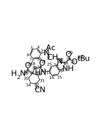 CC(=O)N(C)c1cccc(C[C@H](C(=O)Nc2ccc3[nH]c(C(=O)OC(C)(C)C)nc3c2)C2(C(N)=O)CCC(C#N)CC2)c1